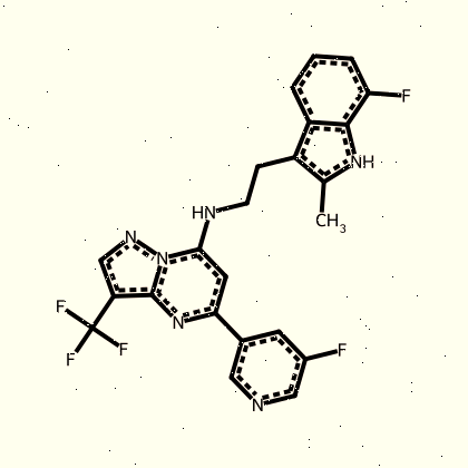 Cc1[nH]c2c(F)cccc2c1CCNc1cc(-c2cncc(F)c2)nc2c(C(F)(F)F)cnn12